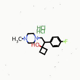 CN1CCN(CC(c2ccc(F)cc2)C2(O)CCC2)CC1.Cl.Cl